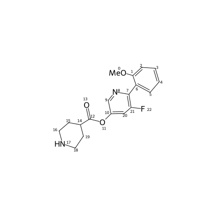 COc1ccccc1-c1ncc(OC(=O)C2CCNCC2)cc1F